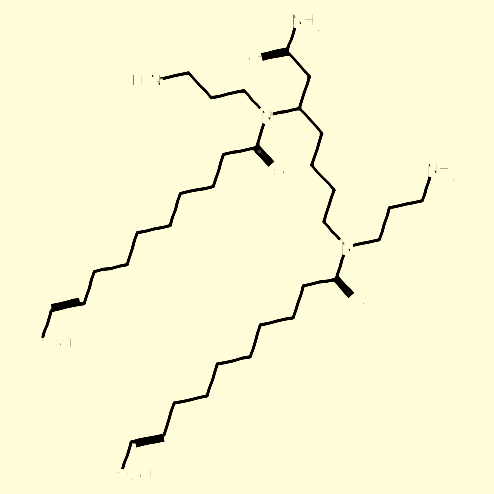 CCCCCCCCC=CCCCCCCCC(=O)N(CCCN)CCCCC(CC(N)=O)N(CCCN)C(=O)CCCCCCCC=CCCCCCCCC